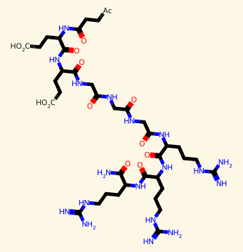 CC(=O)CCC(=O)NC(CCC(=O)O)C(=O)NC(CCC(=O)O)C(=O)NCC(=O)NCC(=O)NCC(=O)NC(CCCNC(=N)N)C(=O)NC(CCCNC(=N)N)C(=O)NC(CCCNC(=N)N)C(N)=O